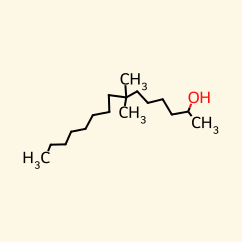 CCCCCCCCC(C)(C)CCCCC(C)O